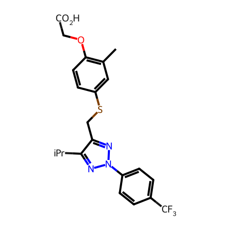 Cc1cc(SCc2nn(-c3ccc(C(F)(F)F)cc3)nc2C(C)C)ccc1OCC(=O)O